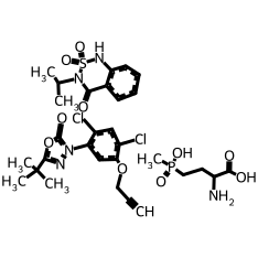 C#CCOc1cc(-n2nc(C(C)(C)C)oc2=O)c(Cl)cc1Cl.CC(C)N1C(=O)c2ccccc2NS1(=O)=O.CP(=O)(O)CCC(N)C(=O)O